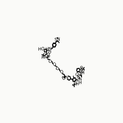 Cc1cc(NC2=N[C@@](Cl)(Nc3ccccc3S(=O)(=O)C(C)C)C=CN2)c(OC(C)C)cc1C1CCN(C(=O)CCOCCOCCOCCOCCC(=O)N[C@H](C(=O)N2C[C@H](O)C[C@H]2C(=O)NCc2ccc(-c3scnc3C)cc2)C(C)(C)C)CC1